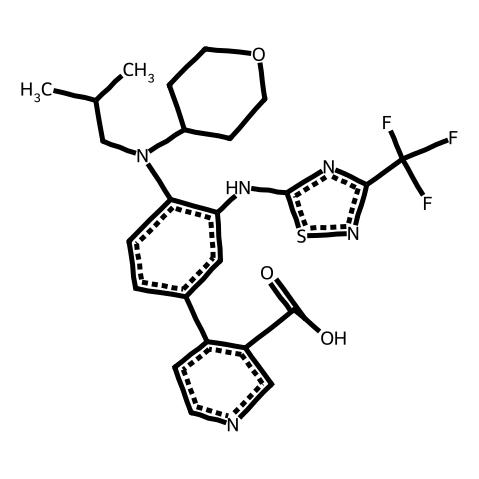 CC(C)CN(c1ccc(-c2ccncc2C(=O)O)cc1Nc1nc(C(F)(F)F)ns1)C1CCOCC1